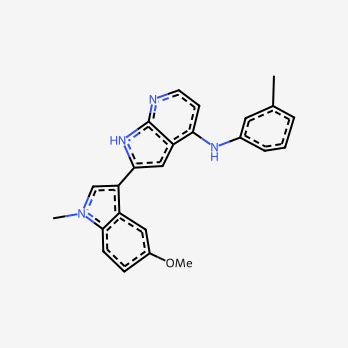 COc1ccc2c(c1)c(-c1cc3c(Nc4cccc(C)c4)ccnc3[nH]1)cn2C